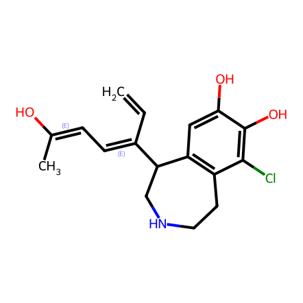 C=C/C(=C\C=C(/C)O)C1CNCCc2c1cc(O)c(O)c2Cl